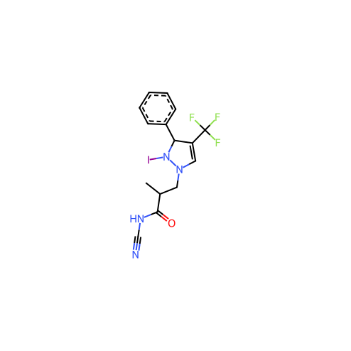 CC(CN1C=C(C(F)(F)F)C(c2ccccc2)N1I)C(=O)NC#N